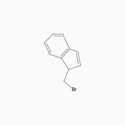 BrCC1C=Cc2ccc[c]c21